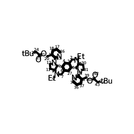 CCN(Cc1ccc(CN(CC)[C@@H]2CCN(c3ncccc3COC(=O)CC(C)(C)C)C2)cc1)[C@@H]1CCN(c2ncccc2COC(=O)CC(C)(C)C)C1